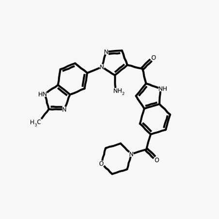 Cc1nc2cc(-n3ncc(C(=O)c4cc5cc(C(=O)N6CCOCC6)ccc5[nH]4)c3N)ccc2[nH]1